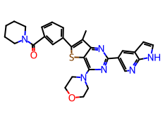 Cc1c(-c2cccc(C(=O)N3CCCCC3)c2)sc2c(N3CCOCC3)nc(-c3cnc4[nH]ccc4c3)nc12